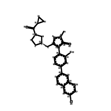 Cn1nc(C[C@@H]2CCN(C(=O)C3CC3)C2)n(-c2ccc(-c3ccc4cc(Cl)cnc4c3)cc2F)c1=O